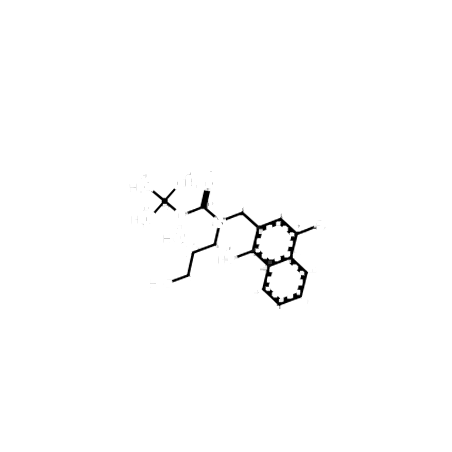 CC[C@H](O)CN(Cc1cc(F)c2ccccc2c1O)C(=O)OC(C)(C)C